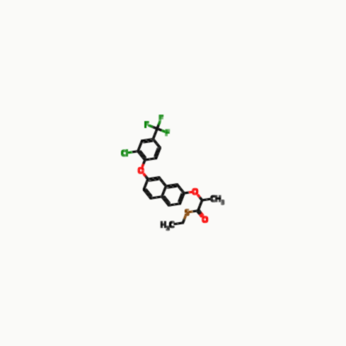 CCSC(=O)C(C)Oc1ccc2ccc(Oc3ccc(C(F)(F)F)cc3Cl)cc2c1